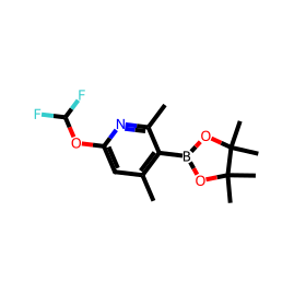 Cc1cc(OC(F)F)nc(C)c1B1OC(C)(C)C(C)(C)O1